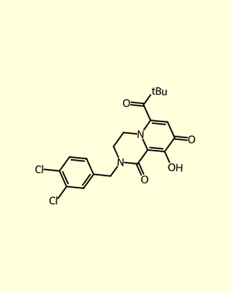 CC(C)(C)C(=O)c1cc(=O)c(O)c2n1CCN(Cc1ccc(Cl)c(Cl)c1)C2=O